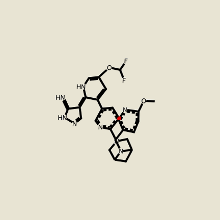 COc1ccc(CN2C3CC2CN(c2ccc(C4=CC(OC(F)F)=CN/C4=C4/C=NNC4=N)cn2)C3)cn1